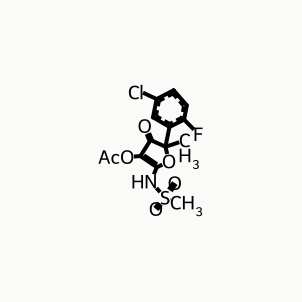 CC(=O)OC1=C(NS(C)(=O)=O)OC(C)(c2cc(Cl)ccc2F)C1=O